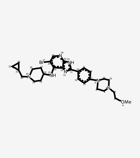 COCCN1CCN(c2ccc(-c3nc4c(NC5CCN(CC6CC6)CC5)c(Br)cnc4[nH]3)cc2)CC1